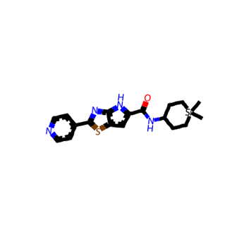 C[Si]1(C)CCC(NC(=O)c2cc3sc(-c4ccncc4)nc3[nH]2)CC1